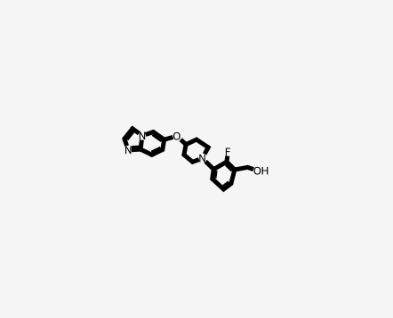 OCc1cccc(N2CCC(Oc3ccc4nccn4c3)CC2)c1F